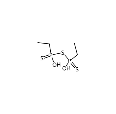 CCP(O)(=S)SP(O)(=S)CC